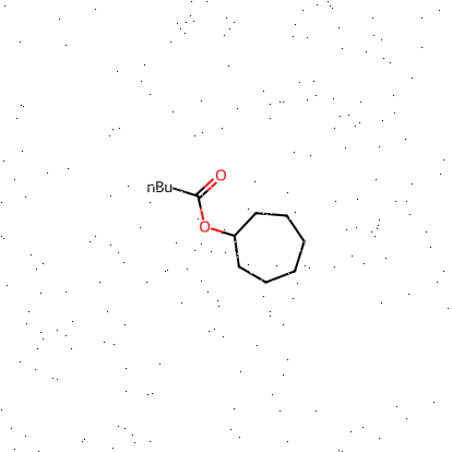 [CH2]CCCC(=O)OC1CCCCCC1